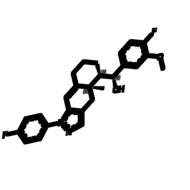 COc1cc([C@H](O)[C@H]2CCCC3=Cc4c(cnn4-c4ccc(F)cc4)C[C@@]32C)ccc1F